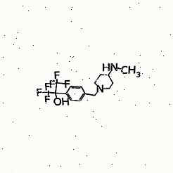 CNC1CCN(Cc2ccc(C(O)(C(F)(F)F)C(F)(F)F)cc2)CC1